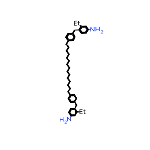 CCc1cc(N)ccc1Cc1ccc(CCCCCCCCCCCCCCCc2ccc(Cc3ccc(N)cc3CC)cc2)cc1